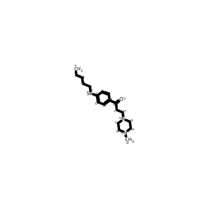 CCCCC[Se]c1ccc(C(=O)CCN2CCN(C)CC2)cc1